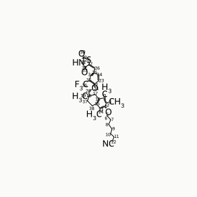 Cc1c(C)c(OCCCCCCC#N)c(C)c2c1CC(C)(COc1ccc(/C=C3/SC(=O)NC3=O)cc1C(F)(F)F)CC2